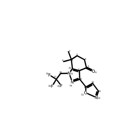 CC1(C)CCC(=O)c2c(-c3ccno3)nn(CC(F)(F)F)c21